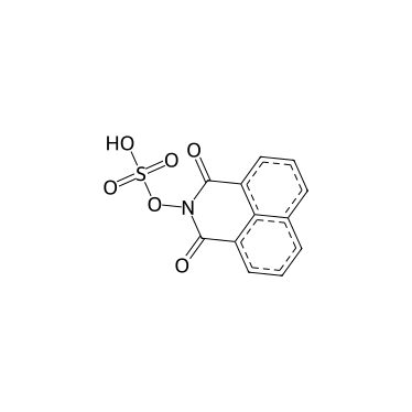 O=C1c2cccc3cccc(c23)C(=O)N1OS(=O)(=O)O